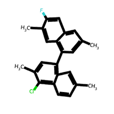 Cc1cc(-c2cc(C)c(Cl)c3ccc(C)cc23)c2cc(C)c(F)cc2c1